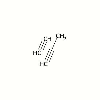 C#C.C#CC